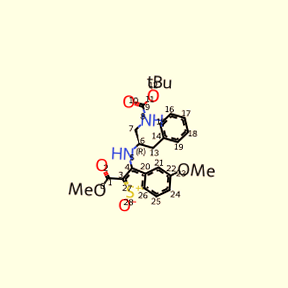 COC(=O)c1c(N[C@@H](CNC(=O)OC(C)(C)C)Cc2ccccc2)c2cc(OC)ccc2[s+]1[O-]